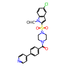 O=Cn1c(S(=O)(=O)N2CCN(C(=O)c3ccc(-c4ccncc4)cc3)CC2)cc2cc(Cl)ccc21